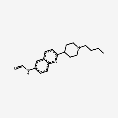 CCCCN1CCC(c2ccc3cc(NC=O)ccc3n2)CC1